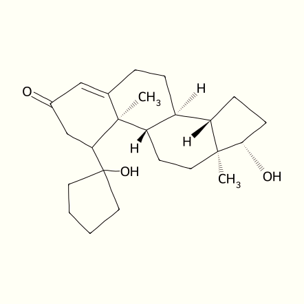 C[C@]12CC[C@H]3[C@@H](CCC4=CC(=O)CC(C5(O)CCCC5)[C@@]43C)[C@@H]1CC[C@@H]2O